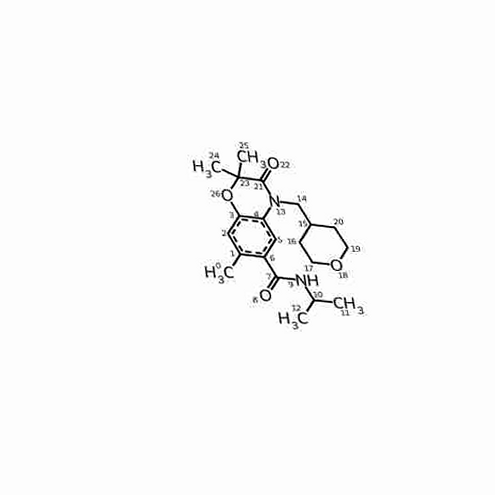 Cc1cc2c(cc1C(=O)NC(C)C)N(CC1CCOCC1)C(=O)C(C)(C)O2